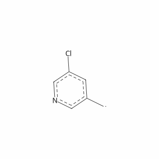 [CH2]c1cncc(Cl)c1